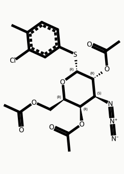 CC(=O)OC[C@H]1O[C@H](Sc2ccc(C)c(Cl)c2)[C@H](OC(C)=O)[C@@H](N=[N+]=[N-])[C@H]1OC(C)=O